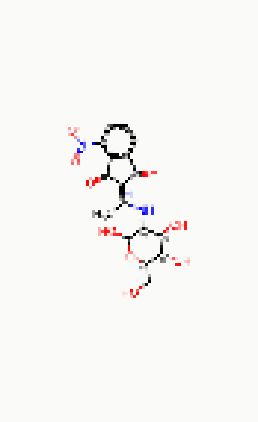 C/C(N[C@H]1C(O)O[C@H](CO)[C@@H](O)[C@@H]1O)=C1/C(=O)c2cccc([N+](=O)[O-])c2C1=O